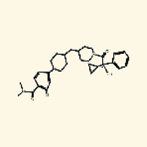 CN(C)C(=O)c1ccc(N2CCC(CC3CCN(C(=O)[C@](O)(c4ccccc4)C4CC4)CC3)CC2)cc1Cl